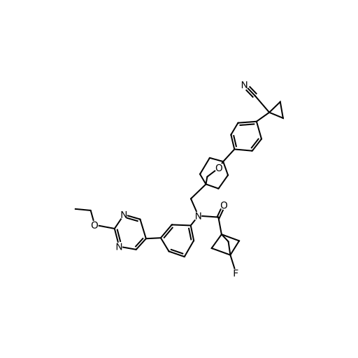 CCOc1ncc(-c2cccc(N(CC34CCC(c5ccc(C6(C#N)CC6)cc5)(CC3)OC4)C(=O)C34CC(F)(C3)C4)c2)cn1